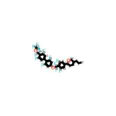 CCCC1CCC(c2cc(F)c(C(F)(F)Oc3cc(F)c(-c4cc(F)c(C(F)(F)OC(F)(F)F)c(F)c4)c(F)c3)c(F)c2)OC1